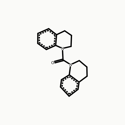 O=C(N1CCCc2ccccc21)N1CCCc2ccccc21